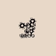 COC(=O)C1CC(Oc2nc3ccccc3c(OCc3ccccc3)c2Br)CN1C(=O)OC(C)(C)C